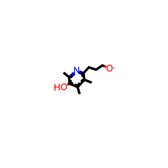 Cc1nc(CCC[O])c(C)c(C)c1O